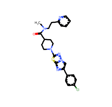 CN(CCc1ccccn1)C(=O)C1CCN(c2nn3cc(-c4ccc(Cl)cc4)nc3s2)CC1